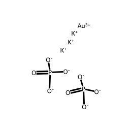 O=P([O-])([O-])[O-].O=P([O-])([O-])[O-].[Au+3].[K+].[K+].[K+]